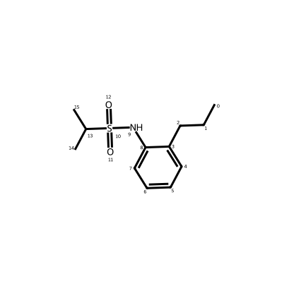 CCCc1ccccc1NS(=O)(=O)C(C)C